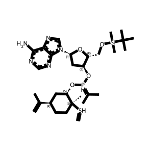 C=[SH][C@@]1(C)CC[C@@H](C(=C)C)C[C@@H]1O[PH](O[C@H]1C[C@H](n2cnc3c(N)ncnc32)O[C@@H]1CO[Si](C)(C)C(C)(C)C)=C(C)C